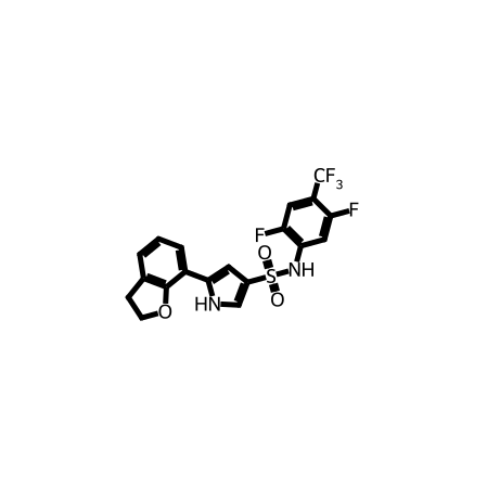 O=S(=O)(Nc1cc(F)c(C(F)(F)F)cc1F)c1c[nH]c(-c2cccc3c2OCC3)c1